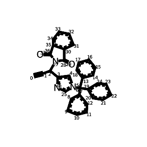 C#CC(c1cn(C(c2ccccc2)(c2ccccc2)c2ccccc2)cn1)N1C(=O)c2ccccc2C1=O